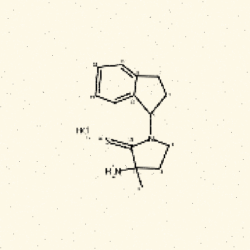 CC1(N)CCN(C2CCc3ccccc32)C1=S.Cl